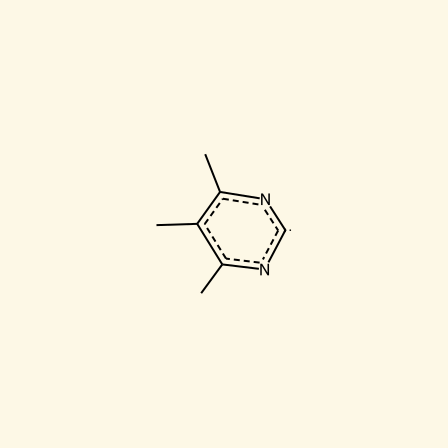 Cc1n[c]nc(C)c1C